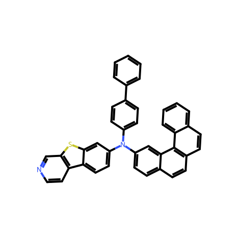 c1ccc(-c2ccc(N(c3ccc4c(c3)sc3cnccc34)c3ccc4ccc5ccc6ccccc6c5c4c3)cc2)cc1